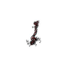 CCOCc1nc2c(N)nc3cc(OCCOCCOCCOCCNC(=O)CCSC(c4ccccc4)(c4ccccc4)c4ccccc4)ccc3c2n1CC(C)(C)O